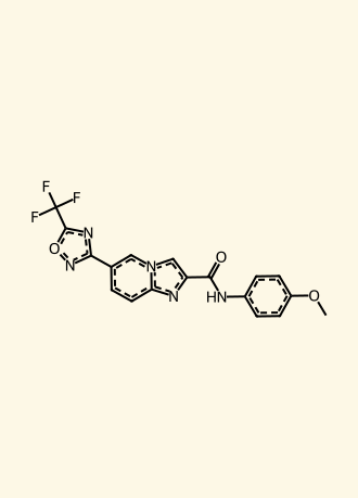 COc1ccc(NC(=O)c2cn3cc(-c4noc(C(F)(F)F)n4)ccc3n2)cc1